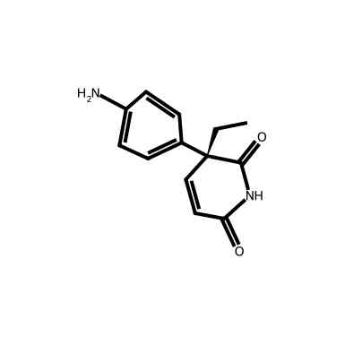 CC[C@]1(c2ccc(N)cc2)C=CC(=O)NC1=O